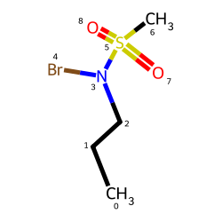 CCCN(Br)S(C)(=O)=O